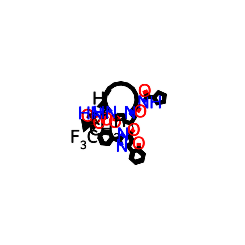 CC1(S(=O)(=O)NC(=O)[C@@]23C[C@H]2/C=C\CCCCC[C@H](NC(=O)C2CCCC2)C(=O)N2C[C@H](Oc4nc(-c5ccc(C(F)(F)F)cc5)nc5c4oc4ccccc45)C[C@H]2C(=O)N3)CC1